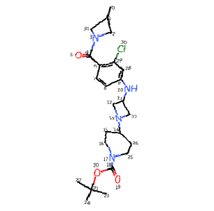 CC1CN(C(=O)c2ccc(NC3CN(C4CCN(C(=O)OC(C)(C)C)CC4)C3)cc2Cl)C1